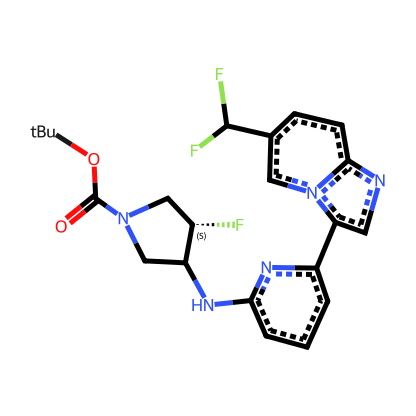 CC(C)(C)OC(=O)N1CC(Nc2cccc(-c3cnc4ccc(C(F)F)cn34)n2)[C@@H](F)C1